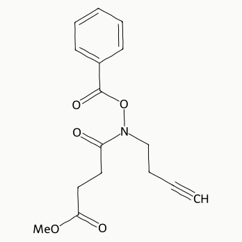 C#CCCN(OC(=O)c1ccccc1)C(=O)CCC(=O)OC